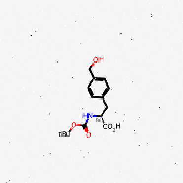 CC(C)(C)OC(=O)N[C@@H](Cc1ccc(CO)cc1)C(=O)O